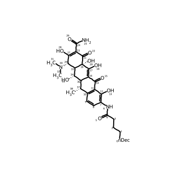 CCCCCCCCCCCCCC(=O)Nc1ccc2c(c1O)C(=O)C1=C(O)[C@]3(O)C(=O)C(C(N)=O)=C(O)[C@@H](N(C)C)C3[C@@H](O)C1[C@H]2C